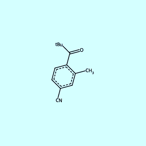 Cc1cc(C#N)ccc1C(=O)C(C)(C)C